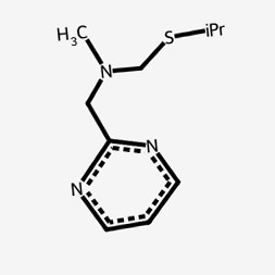 CC(C)SCN(C)Cc1ncccn1